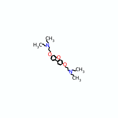 CCCN(CCC)CCCOc1ccc2c(c1)oc1cc(OCCCN(CCC)CCC)ccc12